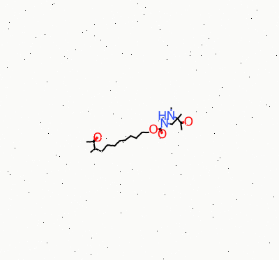 CNC(C)(CN(C)C(=O)OCCCCCCCCCC(C)C(C)=O)C(C)=O